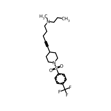 CCCN(C)CCCC#CC1CCN(S(=O)(=O)c2ccc(C(F)(F)F)cc2)CC1